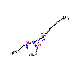 C/C=C/CCCCCCCCCCCCCCNC(=O)CCN(CCCNCCC(=O)NCCCCCCCCCCCCCCC)CCC(=O)NCCCCCCCCCCCCCCC